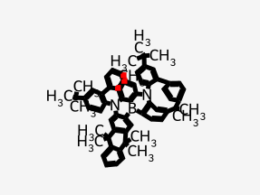 Cc1cc2c3c(c1)N(c1ccc(C(C)(C)C)cc1-c1ccccc1)c1cc4c(cc1B3c1ccc3cc1N2c1ccc(C(C)(C)C)cc1-c1ccc(cc1)C3(C)C)C(C)(C)c1ccccc1C4(C)C